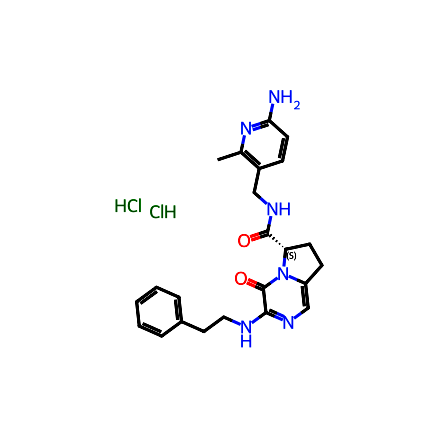 Cc1nc(N)ccc1CNC(=O)[C@@H]1CCc2cnc(NCCc3ccccc3)c(=O)n21.Cl.Cl